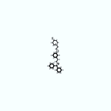 FC1CCN(CCOc2cccc(CCN=C(c3ccccc3)c3ccccc3)c2)CC1